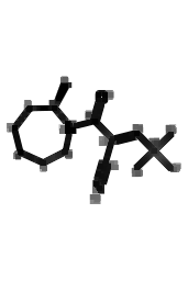 [CH2][C@@H]1CCCCCN1C(=O)C(C#N)=CC(C)(C)C